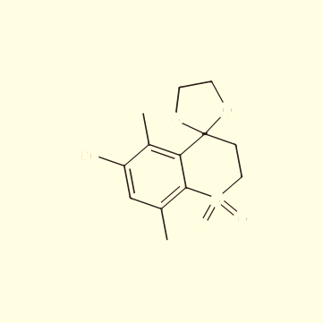 Cc1cc(C(C)(C)C)c(C)c2c1S(=O)(=O)CCC21OCCO1